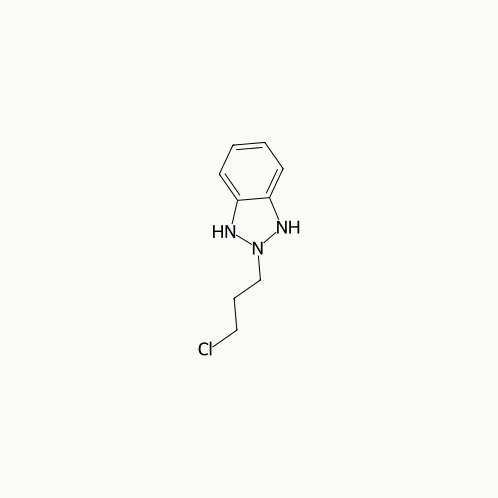 ClCCCN1Nc2ccccc2N1